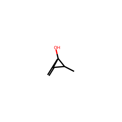 C=C1C(C)C1O